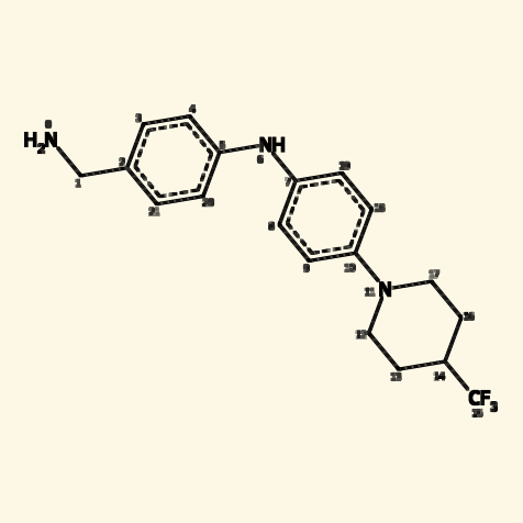 NCc1ccc(Nc2ccc(N3CCC(C(F)(F)F)CC3)cc2)cc1